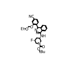 CCOCOc1cc(C#N)ccc1-c1nnc(N[C@@H]2C[C@@H](F)CN(C(=O)OC(C)(C)C)C2)c2ccccc12